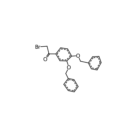 O=C(CBr)c1ccc(OCc2ccccc2)c(OCc2ccccc2)c1